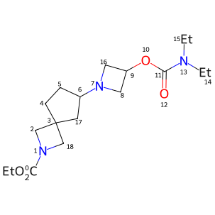 CCOC(=O)N1CC2(CCC(N3CC(OC(=O)N(CC)CC)C3)C2)C1